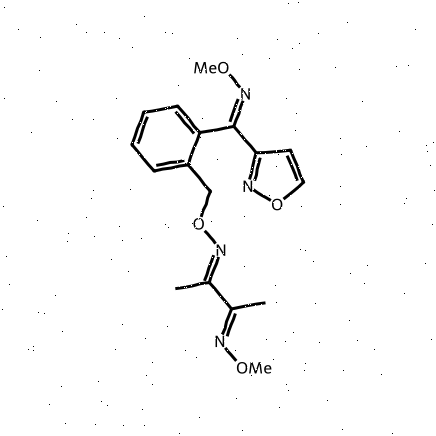 CO/N=C(C)/C(C)=N/OCc1ccccc1/C(=N\OC)c1ccon1